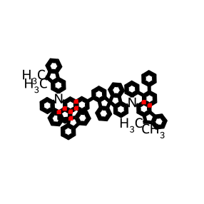 CC1(C)c2ccccc2-c2ccc(N(c3ccccc3-c3cccc(-c4ccc(-c5cccc6c5-c5ccccc5C65c6ccccc6-c6c(N(c7ccc8c(c7)C(C)(C)c7ccccc7-8)c7ccccc7-c7ccccc7-c7ccccc7)cccc65)cc4)c3)c3cccc4c3-c3ccccc3C43c4ccccc4-c4ccccc43)cc21